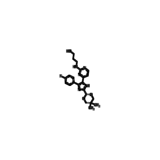 CC1(C)COC(c2nc(-c3ccc(F)cc3)c(-c3ccnc(NCCCO)n3)[nH]2)OC1